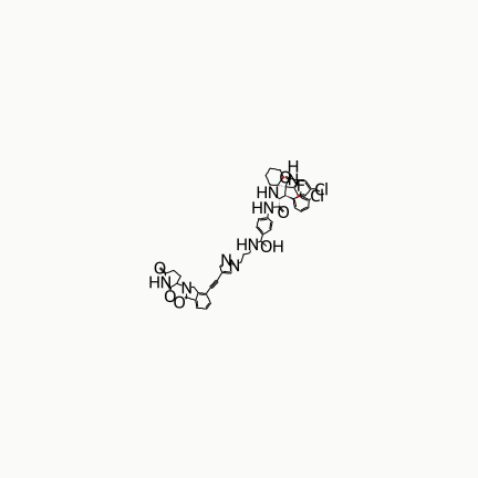 O=C1CCC(N2Cc3c(C#Cc4cnn(CCCNC(O)c5ccc(NC(=O)[C@@H]6NC7(CCCCC7)[C@@]7(C(=O)Nc8cc(Cl)ccc87)[C@H]6c6cccc(Cl)c6F)cc5)c4)cccc3C2=O)C(=O)N1